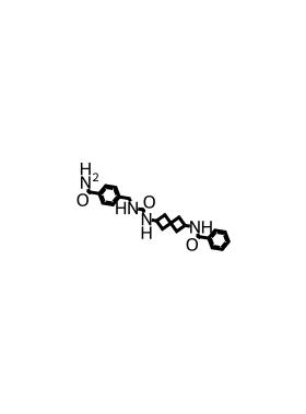 NC(=O)c1ccc(CNC(=O)NC2CC3(C2)CC(NC(=O)c2ccccc2)C3)cc1